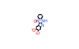 COc1cc2nc3[nH]c4ccccc4[n+]([O-])c-3c2cc1OC